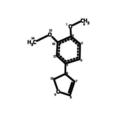 COc1ccc([C]2C=COC2)cc1OC